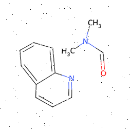 CN(C)C=O.c1ccc2ncccc2c1